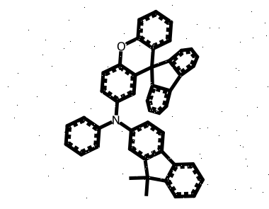 CC1(C)c2ccccc2-c2ccc(N(c3ccccc3)c3ccc4c(c3)C3(c5ccccc5O4)c4ccccc4-c4ccccc43)cc21